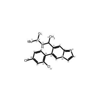 CC(N[S+]([O-])C(C)(C)C)c1cc2nccn2cc1-c1ccc(Cl)cc1Cl